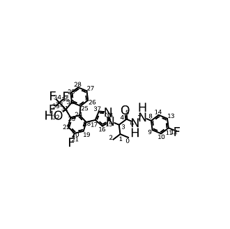 CC(C)C(C(=O)NNc1ccc(F)cc1)n1cc(-c2cc(F)cc3c2-c2ccccc2C3(O)C(F)(F)F)cn1